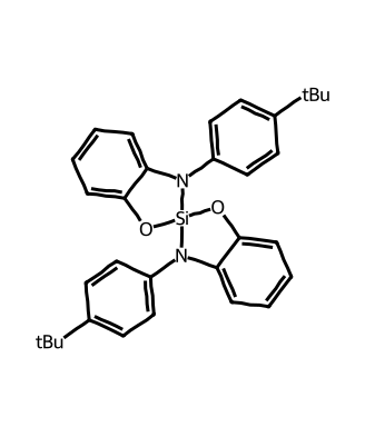 CC(C)(C)c1ccc(N2c3ccccc3O[Si]23Oc2ccccc2N3c2ccc(C(C)(C)C)cc2)cc1